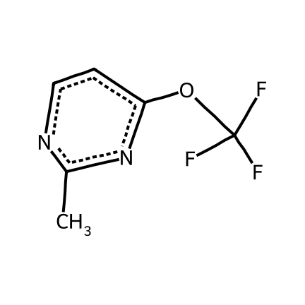 Cc1nccc(OC(F)(F)F)n1